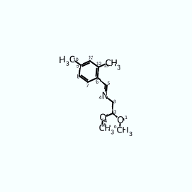 COC(C/N=C/c1ccc(C)cc1C)OC